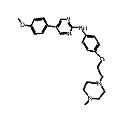 COc1ccc(-c2cnc(Nc3ccc(OCCN4CCN(C)CC4)cc3)nc2)cc1